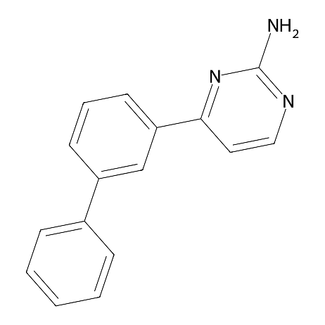 Nc1nccc(-c2cccc(-c3ccccc3)c2)n1